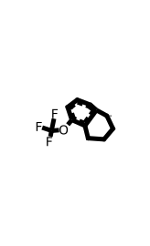 FC(F)(F)Oc1cccc2c1CCC[CH]2